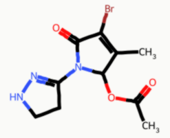 CC(=O)OC1C(C)=C(Br)C(=O)N1C1=NNCC1